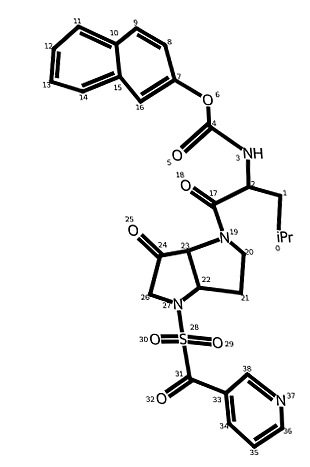 CC(C)CC(NC(=O)Oc1ccc2ccccc2c1)C(=O)N1CCC2C1C(=O)CN2S(=O)(=O)C(=O)c1cccnc1